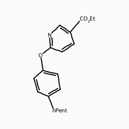 CCCCCc1ccc(Oc2ccc(C(=O)OCC)cn2)cc1